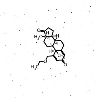 CCOCC1=CC(=O)C=C2CC[C@@H]3[C@H](CC[C@]4(C)C(=O)CC[C@@H]34)[C@]21C